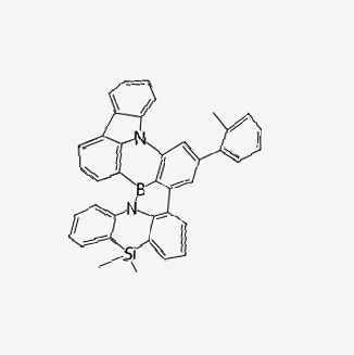 Cc1ccccc1-c1cc2c3c(c1)-n1c4ccccc4c4cccc(c41)B3N1c3ccccc3[Si](C)(C)c3cccc-2c31